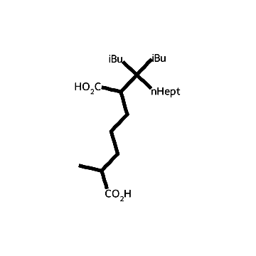 CCCCCCCC(C(C)CC)(C(C)CC)C(CCCC(C)C(=O)O)C(=O)O